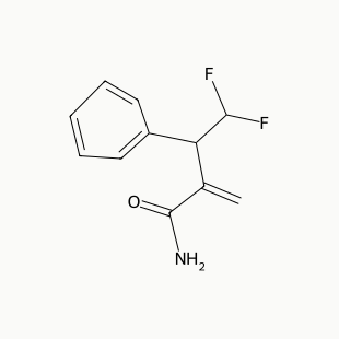 C=C(C(N)=O)C(c1ccccc1)C(F)F